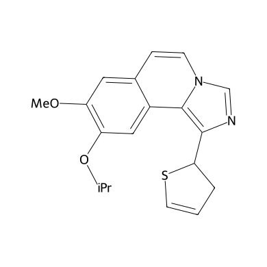 COc1cc2ccn3cnc(C4CC=CS4)c3c2cc1OC(C)C